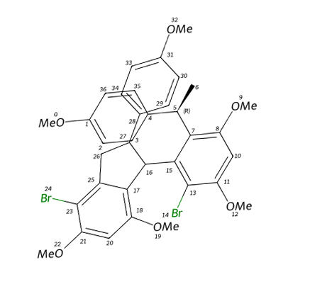 COC1=CCC([C@@H](C)c2c(OC)cc(OC)c(Br)c2C2c3c(OC)cc(OC)c(Br)c3CC2c2ccc(OC)cc2)C=C1